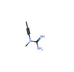 CC#CN(C)C(=N)N